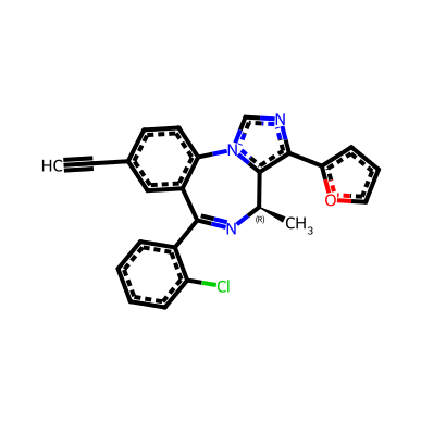 C#Cc1ccc2c(c1)C(c1ccccc1Cl)=N[C@H](C)c1c(-c3ccco3)ncn1-2